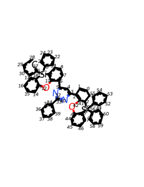 C1=CC(c2cc(-c3cccc4c3Oc3ccccc3[Si]4(c3ccccc3)c3ccccc3)nc(-c3ccccc3)n2)=C2Oc3ccccc3[Si](c3ccccc3)(c3ccccc3)C2C1